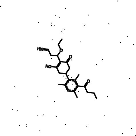 CCCC(=O)c1c(C)cc(C)c(C2CC(=O)C(C(CC=N)OCC)=C(O)C2)c1C